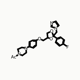 CC(=O)N1CCN(c2ccc(OCC3COC(Cn4ccnc4)(c4ccc(F)cc4)O3)cc2)CC1